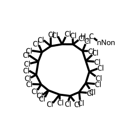 CCCCCCCCCC.ClC1(Cl)C(Cl)(Cl)C(Cl)(Cl)C(Cl)(Cl)C(Cl)(Cl)C(Cl)(Cl)C(Cl)(Cl)C(Cl)(Cl)C(Cl)(Cl)C(Cl)(Cl)C(Cl)(Cl)C(Cl)(Cl)C(Cl)(Cl)C(Cl)(Cl)C1(Cl)Cl